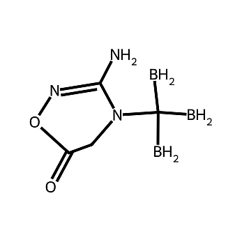 BC(B)(B)N1CC(=O)ON=C1N